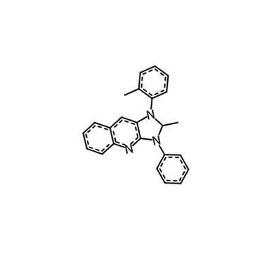 Cc1ccccc1N1c2cc3ccccc3nc2N(c2ccccc2)C1C